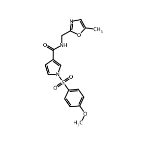 COc1ccc(S(=O)(=O)n2ccc(C(=O)NCc3ncc(C)o3)c2)cc1